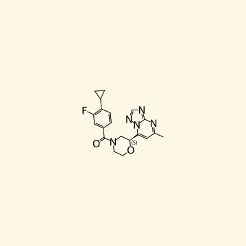 Cc1cc([C@@H]2CN(C(=O)c3ccc(C4CC4)c(F)c3)CCO2)n2ncnc2n1